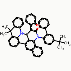 CC(C)(C)c1ccc(N2c3oc4ccccc4c3B3c4c(cc5ccccc5c42)-c2cccc4c2N3c2ccccc2C4(C)C)c(-c2ccccc2)c1